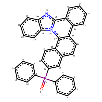 O=P(c1ccccc1)(c1ccccc1)c1ccc2c(ccc3c4ccccc4c4nc5ccccc5n4c23)c1